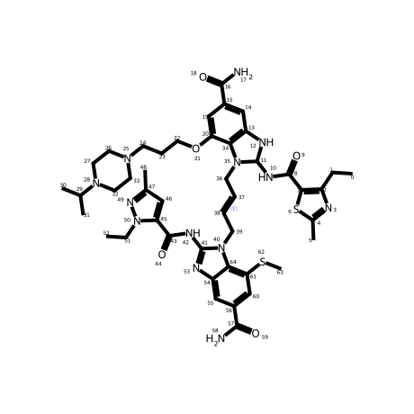 CCc1nc(C)sc1C(=O)NC1Nc2cc(C(N)=O)cc(OCCCN3CCN(C(C)C)CC3)c2N1C/C=C/Cn1c(NC(=O)c2cc(C)nn2CC)nc2cc(C(N)=O)cc(SC)c21